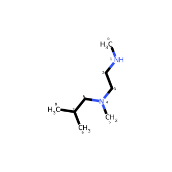 CNCCN(C)CC(C)C